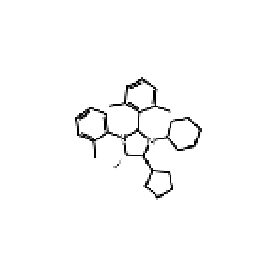 Cc1ccccc1N1C(c2c(C)cccc2C)N(C2CCCCC2)C(C2CCCC2)[C@@H]1C